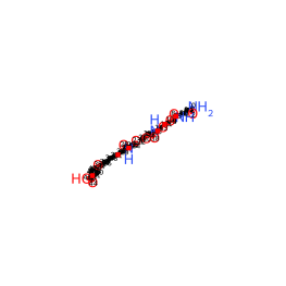 NC(=O)CCCNC(=O)COCCOCCNC(=O)COCCOCCNC(=O)CCCCCCCCCOC1C=CC(C(=O)O)=CC1